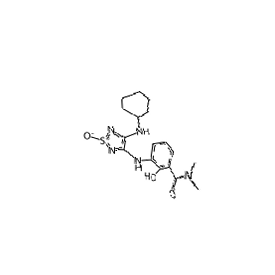 CN(C)C(=O)c1cccc(Nc2n[s+]([O-])nc2NC2CCCCC2)c1O